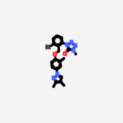 CCc1cccc(-n2nnn(C)c2=O)c1COc1ccc(-n2cc(C)c(C)n2)cc1C